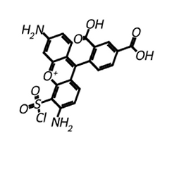 Nc1ccc2c(-c3ccc(C(=O)O)cc3C(=O)O)c3ccc(N)c(S(=O)(=O)Cl)c3[o+]c2c1